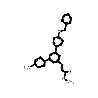 COC(=O)/C=C/c1cc(-c2ccc(C)cc2)cc(-c2ccc(OCc3ccccc3)cc2)c1